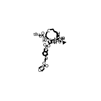 CC(C)(C)OC(=O)N[C@H]1CCCCC/C=C/[C@@H]2C[C@@]2(C(=O)NS(=O)(=O)C2CC2)NC(=O)[C@@H]2C[C@@H](OC(=O)N3Cc4ccc(OCCOC(=O)N5CCOCC5)cc4C3)CN2C1=O